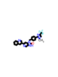 Cn1cc(C(F)(F)F)nc1-c1ccc(Cn2c(=O)[nH]c3cnc(-c4cnc5ccccc5c4)cc32)cc1